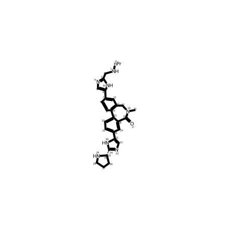 CCCNCc1ncc(-c2ccc3c(c2)CN(C)C(=O)c2cc(-c4cnc([C@@H]5CCCN5)[nH]4)ccc2-3)[nH]1